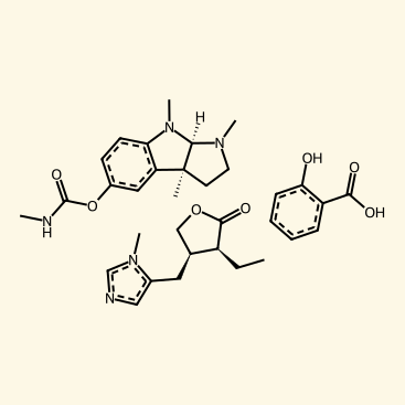 CC[C@@H]1C(=O)OC[C@@H]1Cc1cncn1C.CNC(=O)Oc1ccc2c(c1)[C@]1(C)CCN(C)[C@@H]1N2C.O=C(O)c1ccccc1O